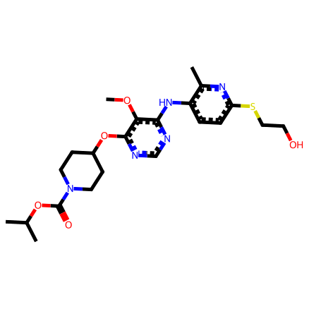 COc1c(Nc2ccc(SCCO)nc2C)ncnc1OC1CCN(C(=O)OC(C)C)CC1